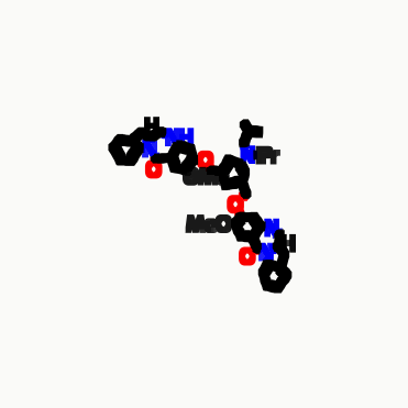 C=C(C)CN(c1cc(COc2cc3c(cc2OC)C(=O)N2c4ccccc4C[C@H]2C=N3)cc(COc2cc3c(cc2OC)C(=O)N2c4ccccc4C[C@H]2CN3)c1)C(C)C